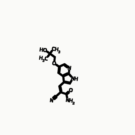 CC(C)(O)COc1cnc2[nH]cc(C=C(C#N)C(N)=O)c2c1